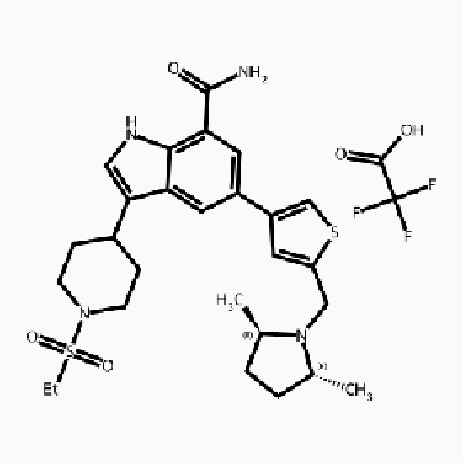 CCS(=O)(=O)N1CCC(c2c[nH]c3c(C(N)=O)cc(-c4csc(CN5[C@H](C)CC[C@H]5C)c4)cc23)CC1.O=C(O)C(F)(F)F